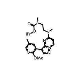 COc1ncc(C)cc1-c1cnn2ccc(N(C)CCN(C)C(=O)OC(C)C)nc12